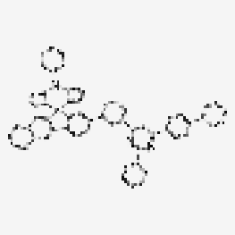 c1ccc(-c2ccc(-c3cc(-c4cccc(-c5ccc6c(c5)C5(c7cc8ccccc8cc7-6)c6ccccc6N(c6ccccc6)c6ccccc65)c4)nc(-c4ccccc4)n3)cc2)cc1